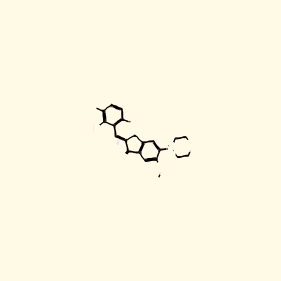 COc1cc2c(cc1N1CCOCC1)C/C(=C\c1c(F)ccc(Br)c1F)C2=O